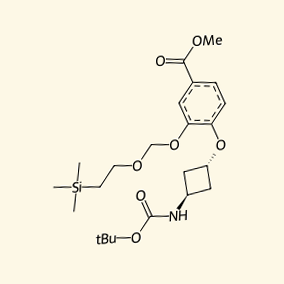 COC(=O)c1ccc(O[C@H]2C[C@H](NC(=O)OC(C)(C)C)C2)c(OCOCC[Si](C)(C)C)c1